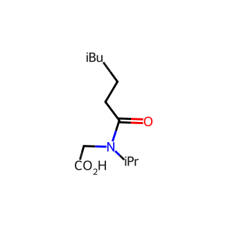 CCC(C)CCC(=O)N(CC(=O)O)C(C)C